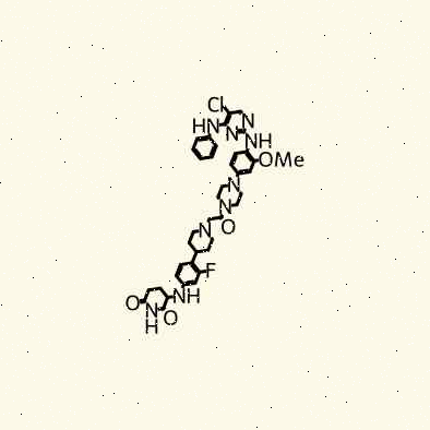 COc1cc(N2CCN(C(=O)CN3CCC(c4ccc(NC5CCC(=O)NC5=O)cc4F)CC3)CC2)ccc1Nc1ncc(Cl)c(Nc2ccccc2)n1